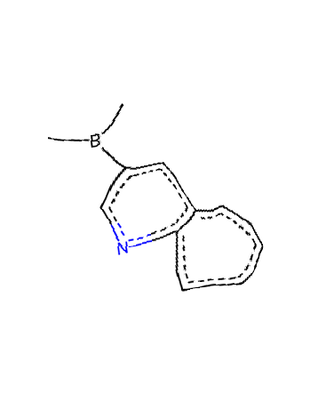 CB(C)c1cnc2ccccc2c1